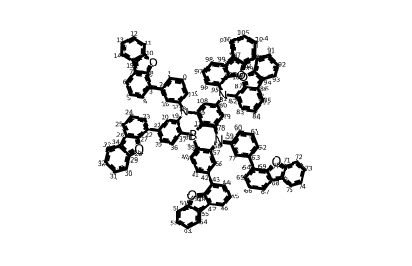 c1cc(-c2cccc3c2oc2ccccc23)cc(N2c3cc(-c4cccc5c4oc4ccccc45)ccc3B3c4ccc(-c5cccc6c5oc5ccccc56)cc4N(c4cccc(-c5cccc6c5oc5ccccc56)c4)c4cc(N(c5cccc6c5oc5ccccc56)c5cccc6c5oc5ccccc56)cc2c43)c1